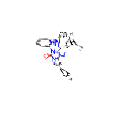 CC(NC(=O)O)c1nc2cc(C(F)(F)F)cn2c(=O)n1-c1ccccc1